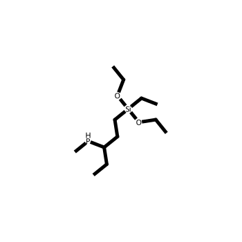 CCO[Si](CC)(CCC(CC)PC)OCC